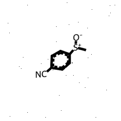 C[S+]([O-])c1[c]cc(C#N)cc1